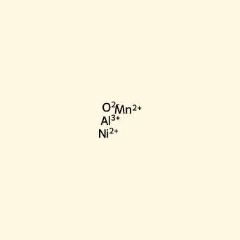 [Al+3].[Mn+2].[Ni+2].[O-2]